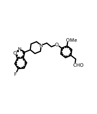 COc1cc(CC=O)ccc1OCCN1CCC(c2noc3cc(F)ccc23)CC1